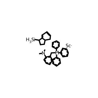 CN(C)c1ccccc1C[PH](c1ccccc1)(c1ccccc1)c1ccccc1.[Sc].[SiH3]C1CCC2CC=CC=C12